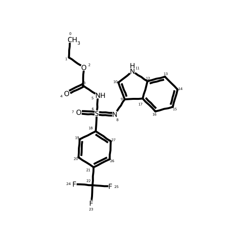 CCOC(=O)NS(=O)(=Nc1c[nH]c2ccccc12)c1ccc(C(F)(F)F)cc1